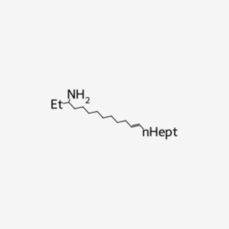 [CH2]CC(N)CCCCCCCCC=CCCCCCCC